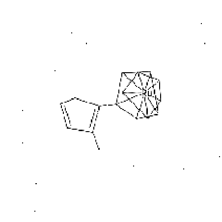 CC1=C([C]23[CH]4[CH]5[CH]6[CH]2[Ru]56432789[CH]3[CH]2[CH]7[CH]8[CH]39)CC=C1